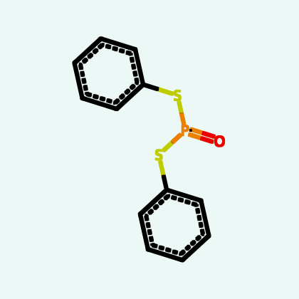 O=[P](Sc1ccccc1)Sc1ccccc1